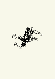 C=CC(=O)Nc1cc(Nc2cc(N3OCC[C@@H]3c3cccc(C(F)(F)F)c3F)ncn2)c(OC)cc1-c1cnn(C)c1